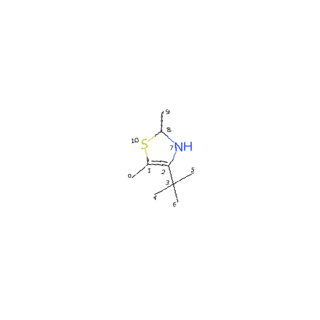 CC1=C(C(C)(C)C)NC(C)S1